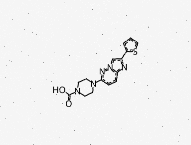 O=C(O)N1CCN(c2ccc3nc(-c4cccs4)cn3n2)CC1